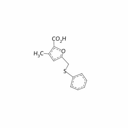 Cc1cc(CSc2ccccc2)oc1C(=O)O